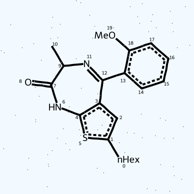 CCCCCCc1cc2c(s1)NC(=O)C(C)N=C2c1ccccc1OC